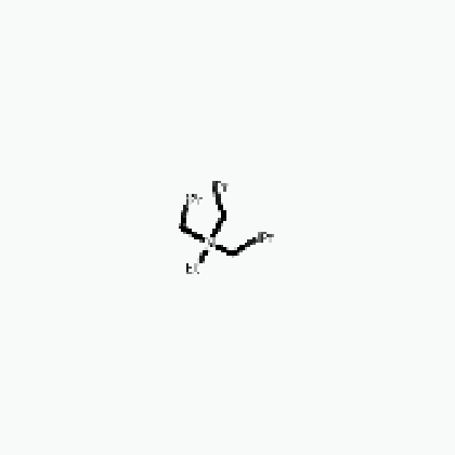 CC[Si](CC(C)C)(CC(C)C)CC(C)C